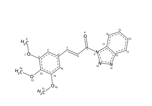 COc1cc(/C=C/C(=O)n2nnc3ccccc32)cc(OC)c1OC